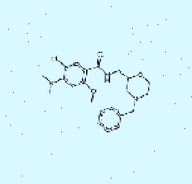 COc1cc(N(C)C)c(Cl)cc1C(=O)NCC1CN(Cc2ccccc2)CCO1